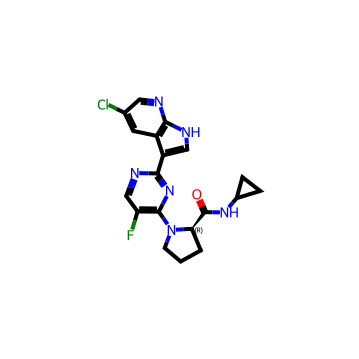 O=C(NC1CC1)[C@H]1CCCN1c1nc(-c2c[nH]c3ncc(Cl)cc23)ncc1F